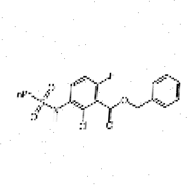 CCCS(=O)(=O)Nc1ccc(F)c(C(=O)OCc2ccccc2)c1Cl